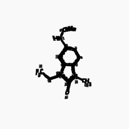 CONc1ccc2c(c1)n(CC(F)(F)F)c(=O)n2C